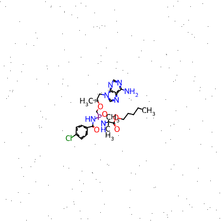 CCCCCOC(=O)C(C)(C)NP(=O)(CO[C@H](C)Cn1cnc2c(N)ncnc21)NC(=O)c1ccc(Cl)cc1